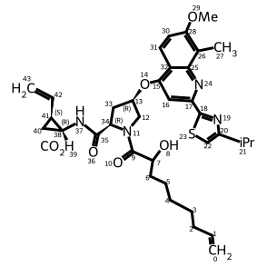 C=CCCCCCC(O)C(=O)N1C[C@H](Oc2cc(-c3nc(C(C)C)cs3)nc3c(C)c(OC)ccc23)C[C@@H]1C(=O)N[C@]1(C(=O)O)C[C@H]1C=C